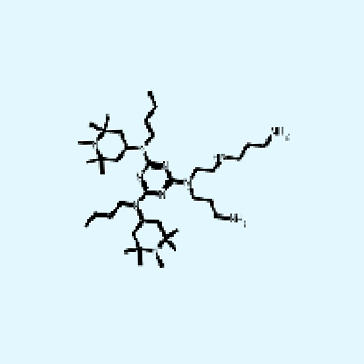 CCCCN(c1nc(N(CCCN)CCNCCCN)nc(N(CCCC)C2CC(C)(C)N(C)C(C)(C)C2)n1)C1CC(C)(C)N(C)C(C)(C)C1